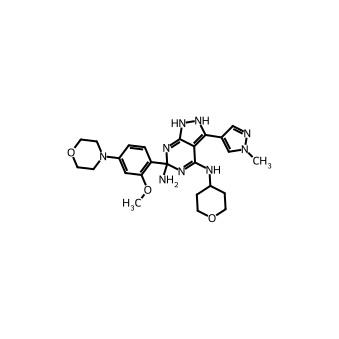 COc1cc(N2CCOCC2)ccc1C1(N)N=C2NNC(c3cnn(C)c3)=C2C(NC2CCOCC2)=N1